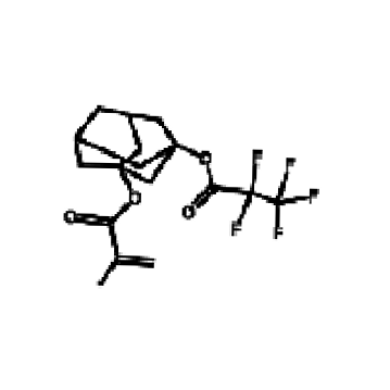 C=C(C)C(=O)OC12CC3CC(C1)CC(OC(=O)C(F)(F)C(F)(F)F)(C3)C2